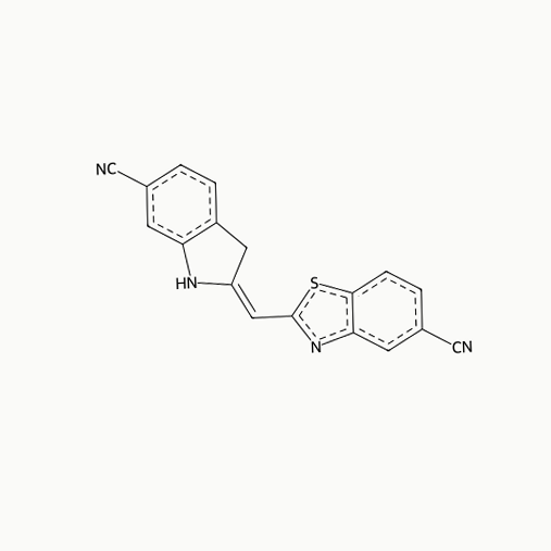 N#Cc1ccc2c(c1)N/C(=C/c1nc3cc(C#N)ccc3s1)C2